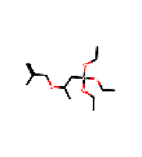 C=C(C)COC(C)C[Si](OCC)(OCC)OCC